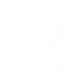 COc1ccc(C(CCN2CCC(Nc3nc4ccccc4n3CCOC(C)C)CC2)CN(C)C(=O)c2ccccc2)cc1